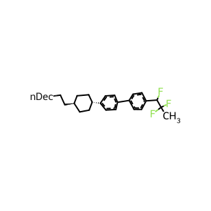 CCCCCCCCCCCC[C@H]1CC[C@H](c2ccc(-c3ccc(C(F)C(C)(F)F)cc3)cc2)CC1